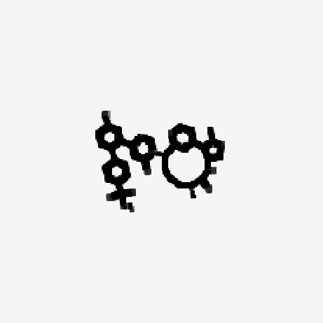 C[C@@H]1CCC[C@H](n2cnc(-c3cc(Cl)ccc3-c3ccc(S(N)(=O)=O)cc3)cc2=O)c2cc(ccn2)-c2c(cnn2C)NC1=O